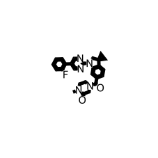 CN1CCN(C(=O)c2ccc3c(c2)N(c2ncc(-c4ccccc4F)cn2)CC32CC2)CC1=O